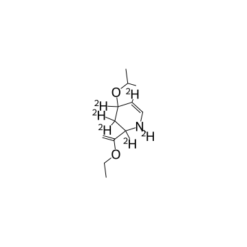 [2H]C1=CN([2H])C([2H])(C(=C)OCC)C([2H])([2H])C1([2H])OC(C)C